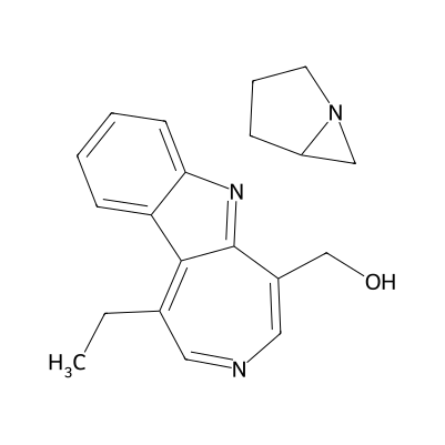 C1CC2CN2C1.CCc1cncc(CO)c2nc3ccccc3c1-2